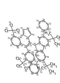 CC(C)(C)c1cc2c(cc1-c1ccccc1)[CH]([Zr](=[C](c1cccc(C(Cl)(Cl)Cl)c1)c1cccc(C(Cl)(Cl)Cl)c1)[CH]1C=CC=C1)c1cc(-c3ccccc3)c(C(C)(C)C)cc1-2